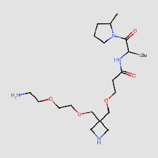 CC1CCCN1C(=O)C(NC(=O)CCOCC1(COCCOCCN)CNC1)C(C)(C)C